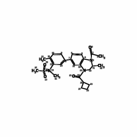 CC(=O)N1c2ccc(-c3ccc(C)c(N(C)S(C)(=O)=O)c3)cc2N(C(=O)C2CCC2)CC1C